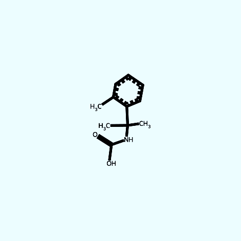 Cc1ccccc1C(C)(C)NC(=O)O